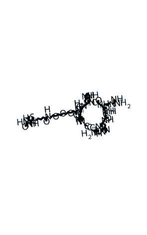 N=C(N)NCCC[C@@H]1NC(=O)CNC(=O)[C@H](Cc2c[nH]cn2)NC(=O)[C@@H](NC(=O)COCCOCCOCCNC(=O)CCCC[C@H]2SC[C@H]3NC(=O)N[C@H]32)Cc2cn(nn2)CCCC[C@@H](C(N)=O)NC(=O)[C@H](Cc2c[nH]cn2)NC(=O)CNC1=O